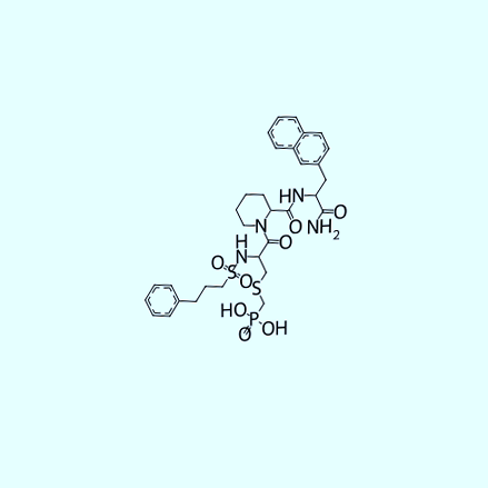 NC(=O)C(Cc1ccc2ccccc2c1)NC(=O)C1CCCCN1C(=O)C(CSCP(=O)(O)O)NS(=O)(=O)CCCc1ccccc1